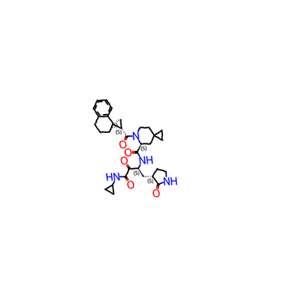 O=C(NC1CC1)C(=O)[C@H](C[C@@H]1CCNC1=O)NC(=O)[C@@H]1CC2(CCN1C(=O)[C@H]1C[C@@]13CCCc1ccccc13)CC2